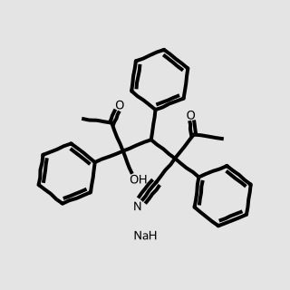 CC(=O)C(O)(c1ccccc1)C(c1ccccc1)C(C#N)(C(C)=O)c1ccccc1.[NaH]